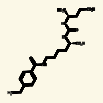 NCc1ccc(C(=O)NCCCC[C@H](NC(=O)N[C@@H](CCC(=O)O)C(=O)O)C(=O)O)cc1